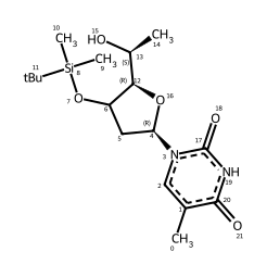 Cc1cn([C@H]2CC(O[Si](C)(C)C(C)(C)C)[C@@H]([C@H](C)O)O2)c(=O)[nH]c1=O